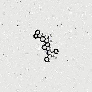 C/C=C(/C)[C@H]1C=C(C)C(c2cccc3c2CCC=C3)CC=C1C1=CC=CC2C(/C(=C/C(CN)C3=CC=CCC3)NCc3ccccc3)CC=C[C@@H]12